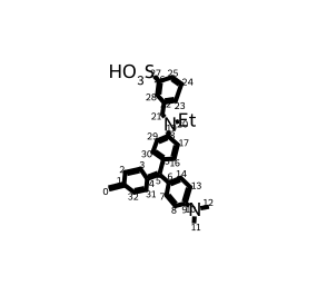 C=c1ccc(=C(c2ccc(N(C)C)cc2)c2ccc(N(CC)Cc3cccc(S(=O)(=O)O)c3)cc2)cc1